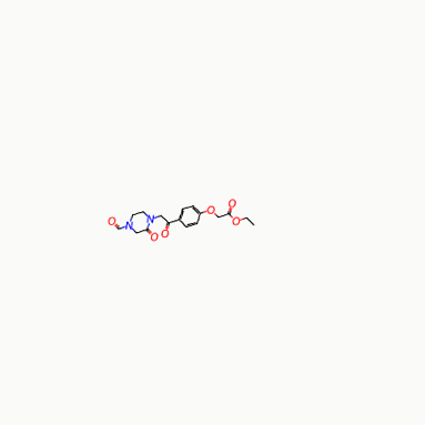 CCOC(=O)COc1ccc(C(=O)CN2CCN(C=O)CC2=O)cc1